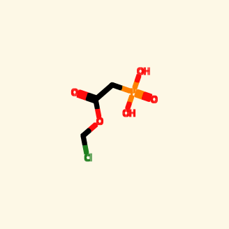 O=C(CP(=O)(O)O)OCCl